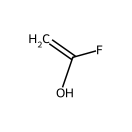 C=C(O)F